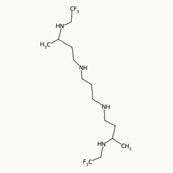 CC(CCNCCCNCCC(C)NCC(F)(F)F)NCC(F)(F)F